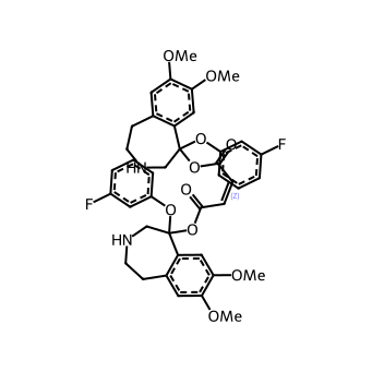 COc1cc2c(cc1OC)C(OC(=O)/C=C\C(=O)OC1(Oc3cccc(F)c3)CNCCc3cc(OC)c(OC)cc31)(Oc1cccc(F)c1)CNCC2